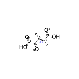 C/C(C(=O)O)=C(/C)C(=O)C(=O)O